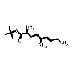 CC(C)(C)OC(=O)C(N)CCC(N)/C=C/CN